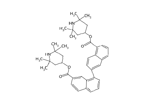 CC1(C)CC(OC(=O)c2ccc3cccc(-c4ccc5c(C(=O)OC6CC(C)(C)NC(C)(C)C6)cccc5c4)c3c2)CC(C)(C)N1